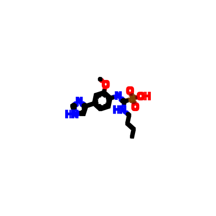 CCCCN/C(=N\c1ccc(-c2c[nH]cn2)cc1OC)S(=O)(=O)O